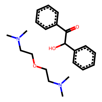 CN(C)CCOCCN(C)C.O=C(c1ccccc1)C(O)c1ccccc1